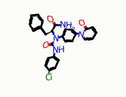 NC(=O)[C@H](Cc1ccccc1)N(C(=O)Nc1ccc(Cl)cc1)c1ccc(-n2ccccc2=O)cc1